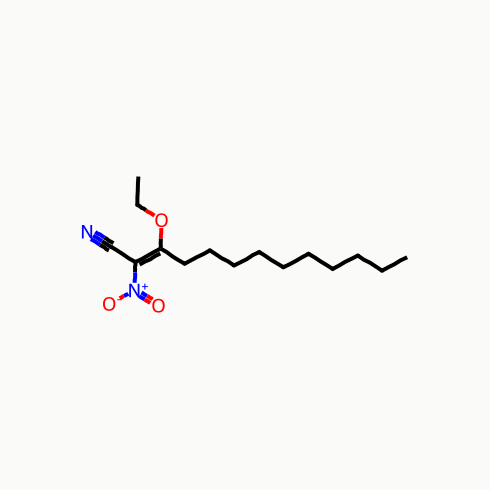 CCCCCCCCCCC(OCC)=C(C#N)[N+](=O)[O-]